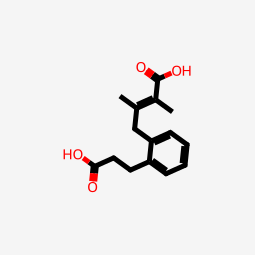 CC(Cc1ccccc1CCC(=O)O)=C(C)C(=O)O